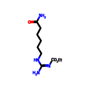 CCOC(=O)/N=C(/N)NCCCCCC(N)=O